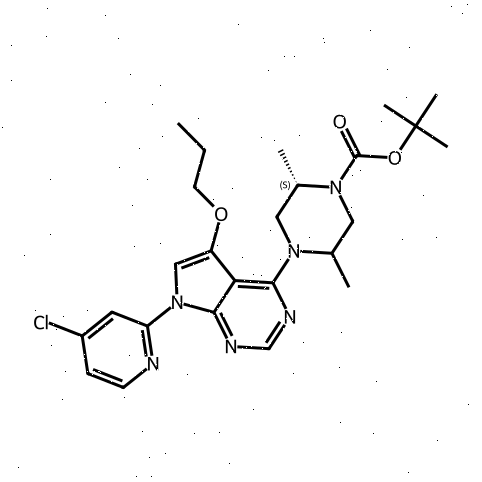 CCCOc1cn(-c2cc(Cl)ccn2)c2ncnc(N3C[C@H](C)N(C(=O)OC(C)(C)C)CC3C)c12